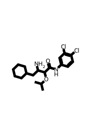 CC(C)OC(C(=O)Nc1ccc(Cl)c(Cl)c1)C(N)CC1CCCCC1